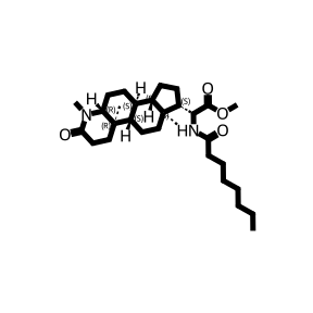 CCCCCCCC(=O)NC(C(=O)OC)[C@H]1CC[C@H]2[C@@H]3CC[C@H]4N(C)C(=O)CC[C@]4(C)[C@H]3CC[C@]12C